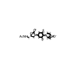 CC(=O)NC[C@H]1CN(c2cc(F)c(N3C=C4CC3C[S+]4[O-])c(F)c2)C(=O)O1